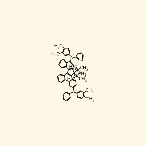 Cc1ccc(N(c2ccccc2)c2ccc3c4c(c5ccccc5c3c2)-c2c(cc(N(c3ccccc3)c3ccc(C)c(C)c3)c3ccccc23)C4([Si](C)(C)C)[Si](C)(C)C)cc1C